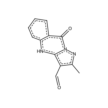 Cc1nn2c(=O)c3ccccc3[nH]c2c1C=O